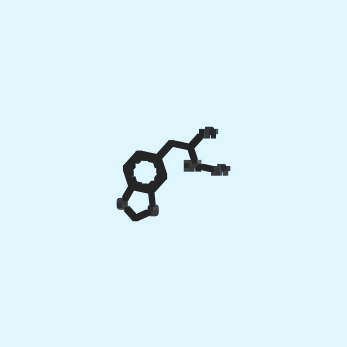 CCCNC(CCC)Cc1ccc2c(c1)OCO2